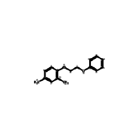 Cc1ccc(OCCOc2ccccc2)c(C)c1